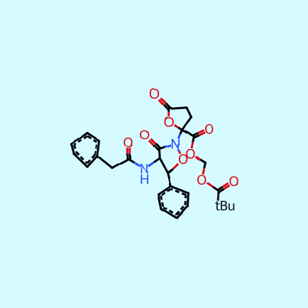 CC(C)(C)C(=O)OCOC(=O)C1(N2OC(c3ccccc3)C(NC(=O)Cc3ccccc3)C2=O)CCC(=O)O1